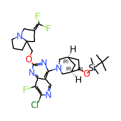 CC(C)(C)[Si](C)(C)O[C@@H]1C[C@H]2C[C@@H]1CN(c1nc(OCC34CCCN3CC(=C(F)F)C4)nc3c(F)c(Cl)ncc13)C2